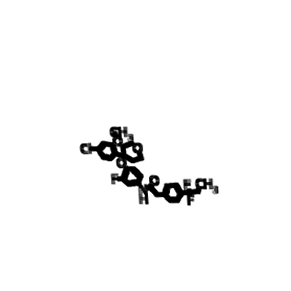 CCC(F)(F)c1ccc(CC(=O)Nc2ccc(OC3(c4ccc(Cl)cc4OC)CCOCC3)c(F)c2)cc1